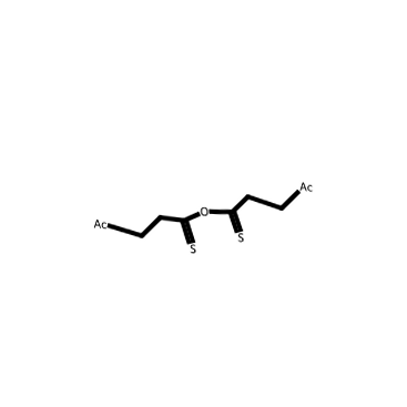 CC(=O)CCC(=S)OC(=S)CCC(C)=O